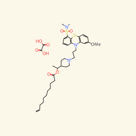 C=CCCCCCCCCC(=O)OC(C)C1CCN(CCCN2c3cc(OC)ccc3Sc3c2cccc3S(=O)(=O)N(C)C)CC1.O=C(O)C(=O)O